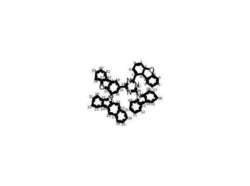 C1=CC2Oc3ccccc3C2C(c2nc(-c3cc(-n4c5ccccc5c5cc6ccccc6cc54)c4oc5ccccc5c4c3)nc(-n3c4ccccc4c4ccccc43)n2)=C1